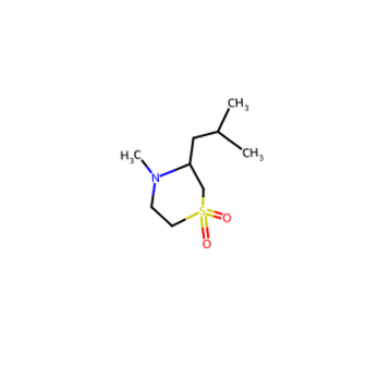 CC(C)CC1CS(=O)(=O)CCN1C